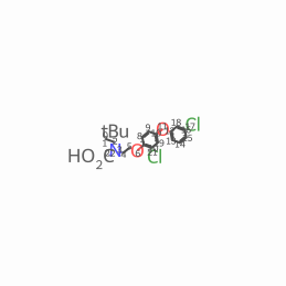 CC(C)(C)CCN(CCOc1ccc(Oc2cccc(Cl)c2)cc1Cl)C(=O)O